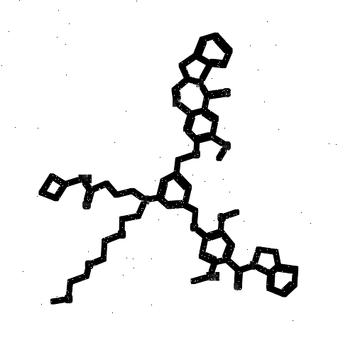 CNc1cc(OCc2cc(COc3cc4c(cc3OC)C(=O)N3c5ccccc5CC3C=N4)cc(N(CCCC(=O)NC3CCC3)CCOCCOCCOC)c2)c(OC)cc1C(=O)N1CCc2ccccc21